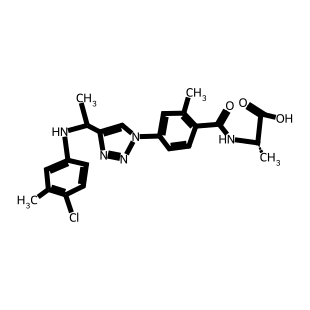 Cc1cc(NC(C)c2cn(-c3ccc(C(=O)N[C@@H](C)C(=O)O)c(C)c3)nn2)ccc1Cl